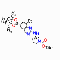 CCc1cc(B2OC(C)(C)C(C)(C)O2)cc2cnc(N[C@H]3CCCN(C(=O)OC(C)(C)C)C3)nc12